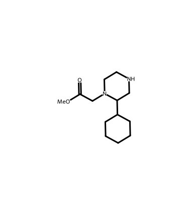 COC(=O)CN1CCNCC1C1CCCCC1